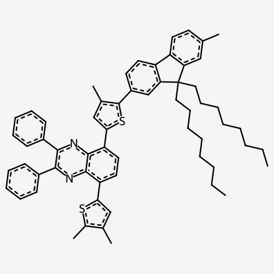 CCCCCCCCC1(CCCCCCCC)c2cc(C)ccc2-c2ccc(-c3sc(-c4ccc(-c5cc(C)c(C)s5)c5nc(-c6ccccc6)c(-c6ccccc6)nc45)cc3C)cc21